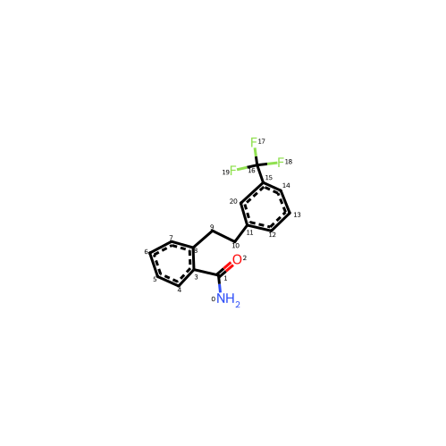 NC(=O)c1ccccc1CCc1cccc(C(F)(F)F)c1